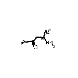 CC(=O)[C@@H](N)CC(=O)C(C)C